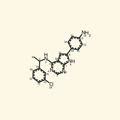 CC(Nc1ncnc2[nH]c(-c3ccc(N)cc3)cc12)c1cccc(Cl)c1